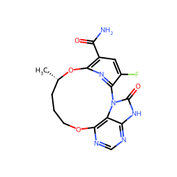 C[C@H]1CCCOc2ncnc3[nH]c(=O)n(c23)-c2nc(c(C(N)=O)cc2F)O1